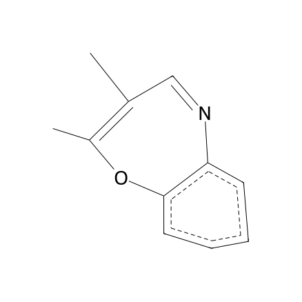 CC1=C(C)Oc2ccccc2N=C1